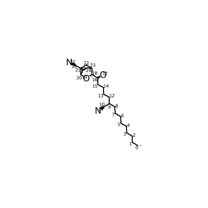 [CH2]CCCCCCCCC(C#N)CCCCC(=O)[C]1OC2CCC1CC2C#N